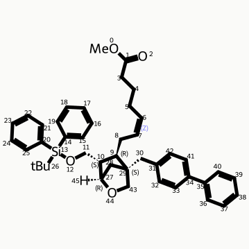 COC(=O)CCC/C=C\C[C@@H]1[C@@H](CO[Si](c2ccccc2)(c2ccccc2)C(C)(C)C)[C@H]2C[C@]1(Cc1ccc(-c3ccccc3)cc1)CO2